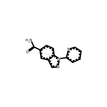 NC(=O)c1ccc2c(cnn2-c2ccccn2)c1